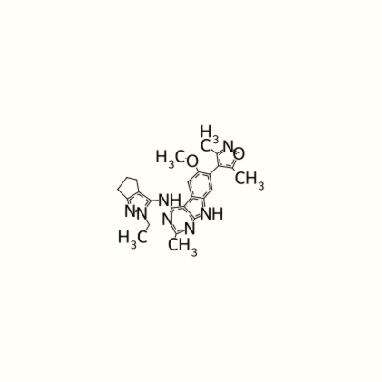 CCn1nc2c(c1Nc1nc(C)nc3[nH]c4cc(-c5c(C)noc5C)c(OC)cc4c13)CCC2